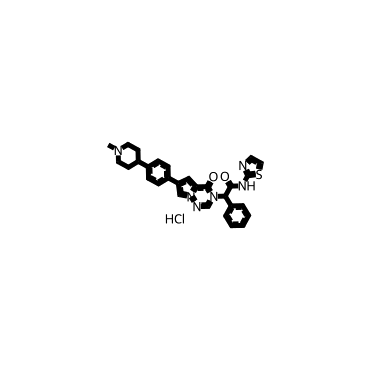 CN1CCC(c2ccc(-c3cc4c(=O)n(C(C(=O)Nc5nccs5)c5ccccc5)cnn4c3)cc2)CC1.Cl